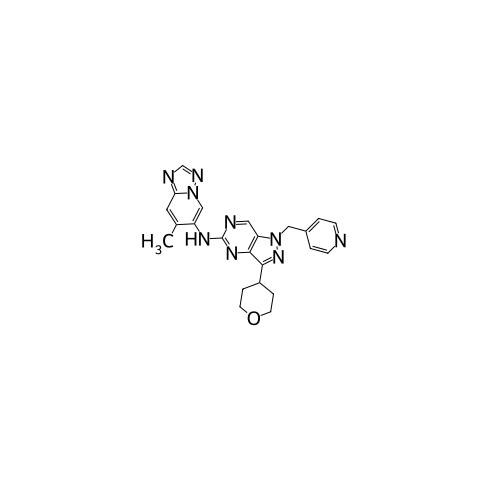 Cc1cc2ncnn2cc1Nc1ncc2c(n1)c(C1CCOCC1)nn2Cc1ccncc1